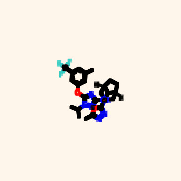 Cc1cc(Oc2nc(NC3[C@@H]4CC[C@H]3CN(c3nnc(C)o3)C4)nn2C(C)C)cc(C(F)(F)F)c1